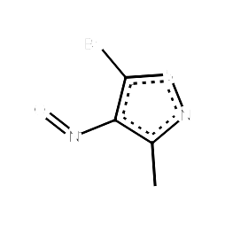 Cc1nsc(Br)c1N=O